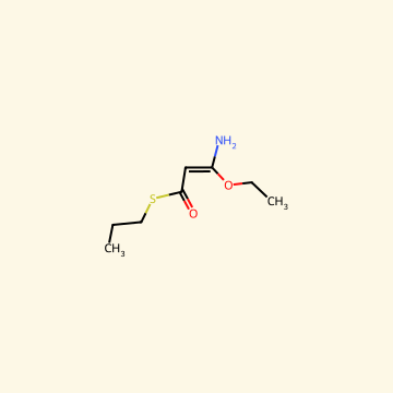 CCCSC(=O)C=C(N)OCC